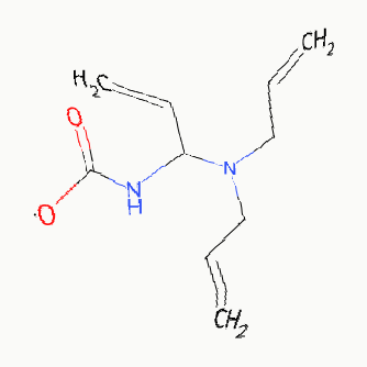 C=CCN(CC=C)C(C=C)NC([O])=O